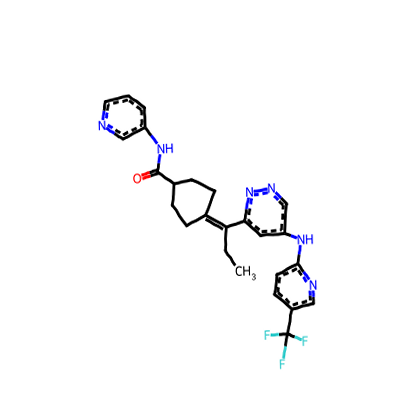 CCC(=C1CCC(C(=O)Nc2cccnc2)CC1)c1cc(Nc2ccc(C(F)(F)F)cn2)cnn1